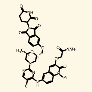 CNC(=O)COc1cc2cc(Nc3nc(N4C[C@@H](COc5ccc6c(c5)C(=O)N(C5CCC(=O)NC5=O)C6=O)O[C@H](C)C4)ncc3Cl)ccc2n(C(C)C)c1=O